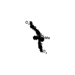 COc1ccccc1Oc1c(NS(=O)(=O)c2ccc(C(C)(C)COC(=O)Cc3ccc(CO[N+](=O)[O-])cc3)cc2)nc(-c2ncccn2)nc1OCCOC(=O)Cc1ccc(CO[N+](=O)[O-])cc1